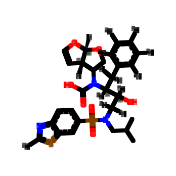 [2H]c1nc2ccc(S(=O)(=O)N(CC(C)C)C([2H])([2H])[C@@]([2H])(O)[C@@]([2H])(N(C(=O)O)C3CO[C@@H]4OC=C[C@@H]34)C([2H])([2H])c3c([2H])c([2H])c([2H])c([2H])c3[2H])cc2s1